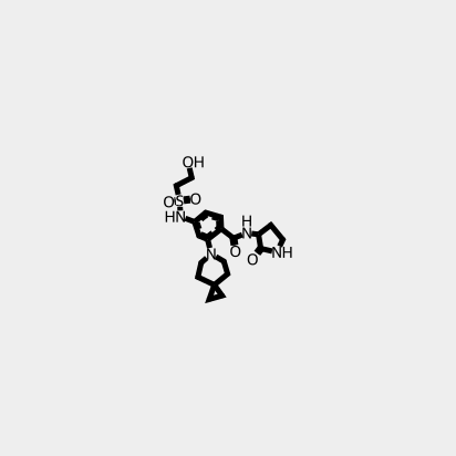 O=C(NC1CCNC1=O)c1ccc(NS(=O)(=O)CCO)cc1N1CCC2(CC1)CC2